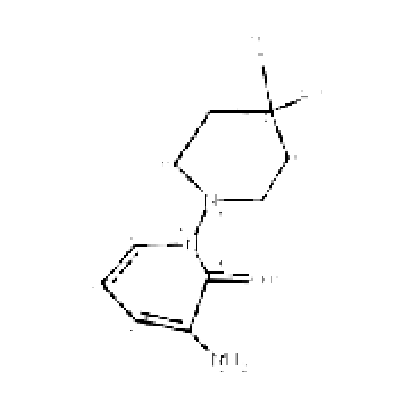 Nc1cccn(N2CCC(F)(F)CC2)c1=O